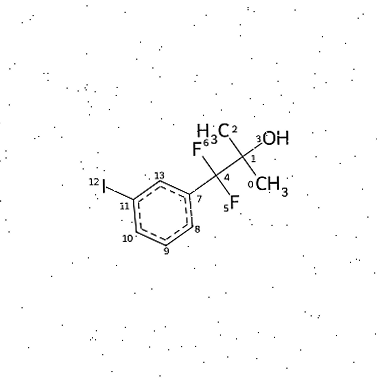 CC(C)(O)C(F)(F)c1cccc(I)c1